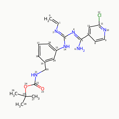 C=C/N=C(\N=C(/N)c1ccnc(Cl)c1)Nc1cccc(CNC(=O)OC(C)(C)C)c1